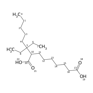 CCCCCC(CC)(CC)C(CCCCCCC(=O)O)C(=O)O